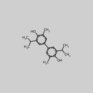 Cc1cc(-c2cc(C)c(O)c(C(C)C)c2)cc(C(C)C)c1O